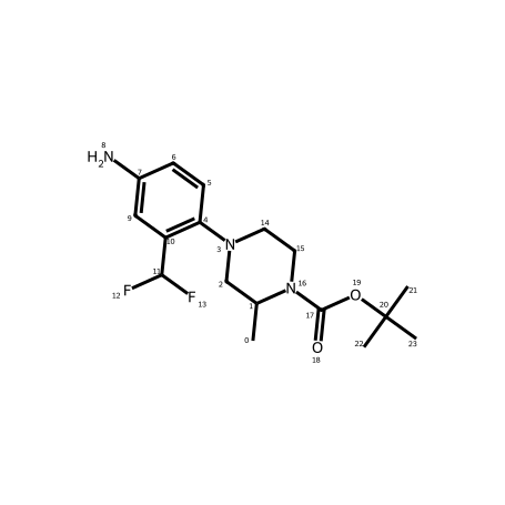 CC1CN(c2ccc(N)cc2C(F)F)CCN1C(=O)OC(C)(C)C